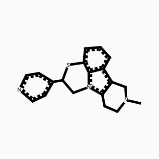 CN1CCc2c(c3cccc4c3n2CC(c2ccncc2)S4)C1